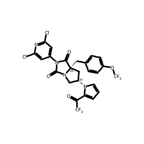 O=C1N(c2cc(Cl)nc(Cl)c2)C(=O)[C@@]2(Cc3ccc(OC(F)(F)F)cc3)C[C@H](n3cccc3C(=O)C(F)(F)F)CN12